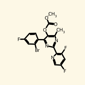 COC(=O)Oc1c(C)nc(-c2ncc(F)cc2F)nc1-c1ccc(F)cc1Br